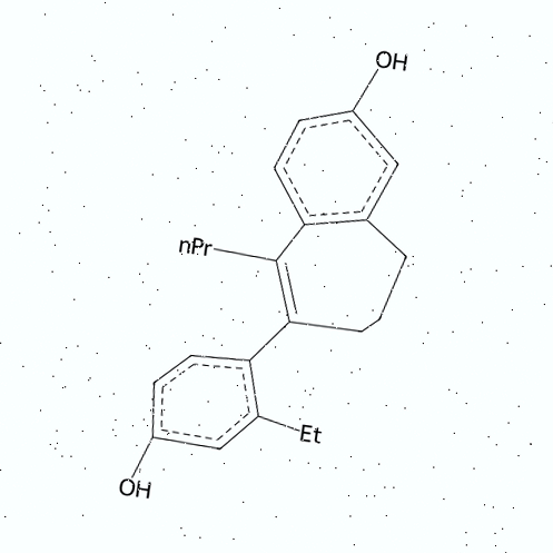 CCCC1=C(c2ccc(O)cc2CC)CCCc2cc(O)ccc21